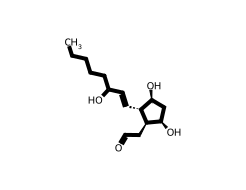 CCCCCC(O)C=C[C@H]1[C@H](CC=O)[C@H](O)C[C@@H]1O